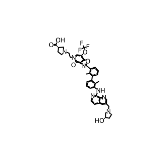 Cc1c(Nc2nccc3cc(CN4CC[C@@H](O)C4)cnc23)cccc1-c1cccc(-c2nc3c(=O)n(CCN4CC[C@@H](C(=O)O)C4)cc(OC(F)(F)F)c3o2)c1C